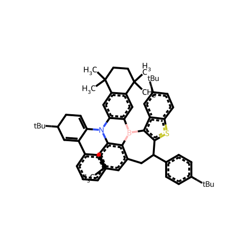 Cc1cc2c3c(c1)N(C1=CCC(C(C)(C)C)C=C1c1ccccc1)c1cc4c(cc1B3c1c(sc3ccc(C(C)(C)C)cc13)C(c1ccc(C(C)(C)C)cc1)C2)C(C)(C)CCC4(C)C